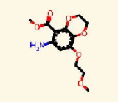 COCCOc1cc(N)c(C(=O)OC)c2c1OCCO2